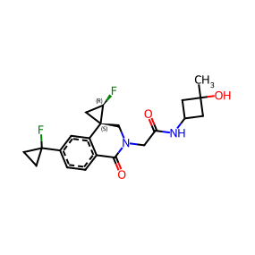 CC1(O)CC(NC(=O)CN2C[C@]3(C[C@H]3F)c3cc(C4(F)CC4)ccc3C2=O)C1